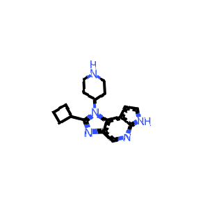 c1cc2c(ncc3nc(C4CCC4)n(C4CCNCC4)c32)[nH]1